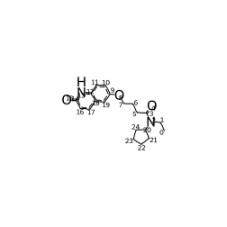 CCN(C(=O)CCCOc1ccc2[nH]c(=O)ccc2c1)C1CCCC1